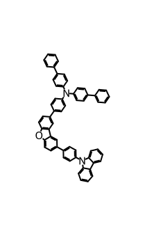 c1ccc(-c2ccc(N(c3ccc(-c4ccccc4)cc3)c3ccc(-c4ccc5oc6ccc(-c7ccc(-n8c9ccccc9c9ccccc98)cc7)cc6c5c4)cc3)cc2)cc1